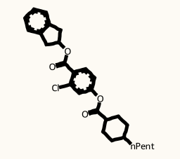 CCCCCC1CCC(C(=O)Oc2ccc(C(=O)OC3Cc4ccccc4C3)c(Cl)c2)CC1